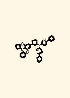 c1ccc(-c2ccc(N(c3ccc(-c4ccccc4)nc3)c3cccc(-c4cc5c6c(c4)Oc4ccccc4N6c4ccccc4O5)c3)cc2)cc1